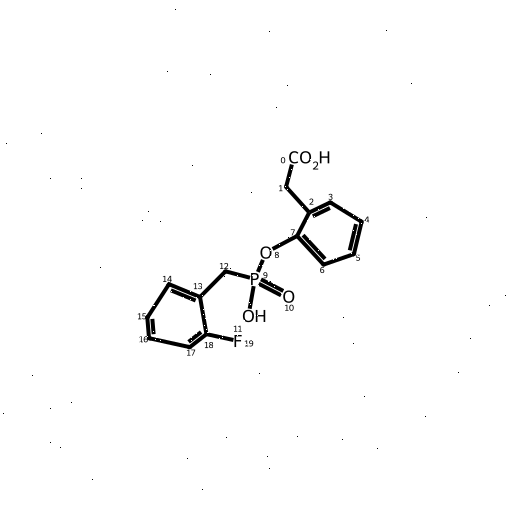 O=C(O)Cc1ccccc1OP(=O)(O)Cc1ccccc1F